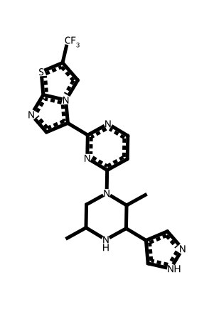 CC1CN(c2ccnc(-c3cnc4sc(C(F)(F)F)cn34)n2)C(C)C(c2cn[nH]c2)N1